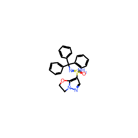 N[S@@](=O)(=NC(c1ccccc1)(c1ccccc1)c1ccccc1)c1cnn2c1OCC2